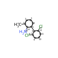 Cc1cccc(-c2c(Cl)cccc2Cl)c1N